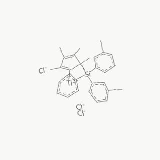 CC1=C(C)C(C)([Si](c2ccccc2)(c2cccc(C)c2)c2cccc(C)c2)[C]([Ti+3])=C1C.[Cl-].[Cl-].[Cl-]